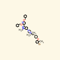 Cc1c(Br)cccc1O[C@H]1CC[C@H](CCC(C)(C)N2CCN(c3ccc4c(-c5ccc(OCc6ccccc6)nc5OCc5ccccc5)nn(C)c4c3)CC2)CC1